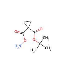 CC(C)(C)OC(=O)C1(C(=O)ON)CC1